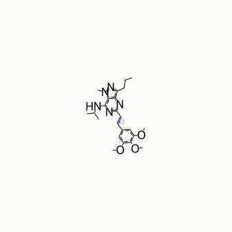 CCCc1nn(C)c2c(NC(C)C)nc(/C=C/c3cc(OC)c(OC)c(OC)c3)nc12